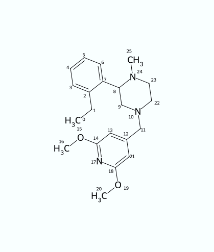 CCc1ccccc1C1CN(Cc2cc(OC)nc(OC)c2)CCN1C